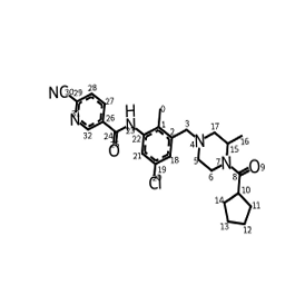 Cc1c(CN2CCN(C(=O)C3CCCC3)C(C)C2)cc(Cl)cc1NC(=O)c1ccc(C#N)nc1